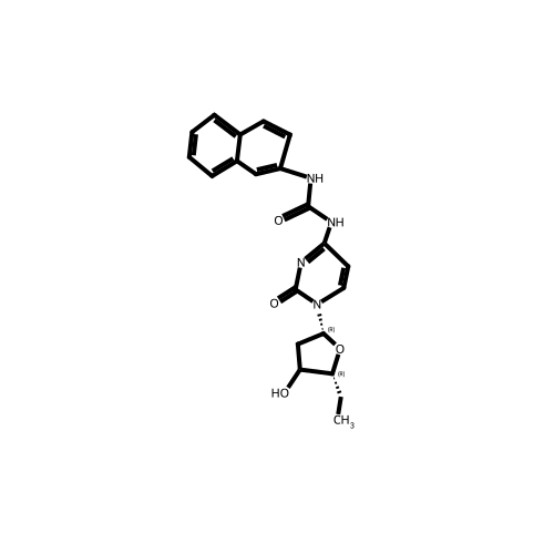 CC[C@H]1O[C@@H](n2ccc(NC(=O)Nc3ccc4ccccc4c3)nc2=O)CC1O